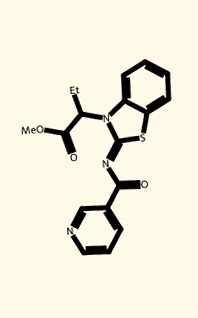 CCC(C(=O)OC)n1c(=NC(=O)c2cccnc2)sc2ccccc21